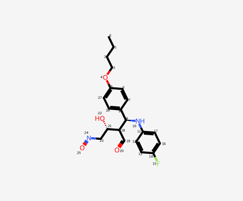 CCCCOc1ccc([C@@H](Nc2ccc(F)cc2)C(C=O)[C@@H](O)CN=O)cc1